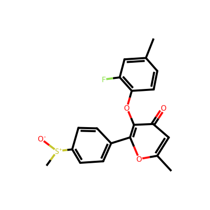 Cc1ccc(Oc2c(-c3ccc([S+](C)[O-])cc3)oc(C)cc2=O)c(F)c1